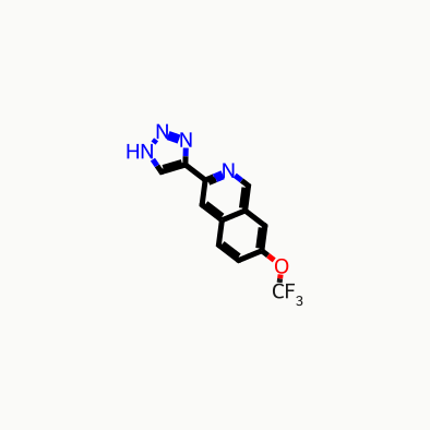 FC(F)(F)Oc1ccc2cc(-c3c[nH]nn3)ncc2c1